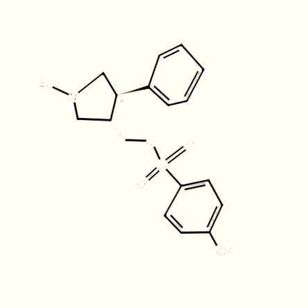 CC(=O)N1C[C@@H](COS(=O)(=O)c2ccc(C)cc2)[C@H](c2ccccc2)C1